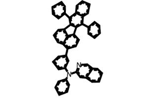 c1ccc(-c2c3c(c(-c4ccccc4)c4ccccc24)-c2ccc(-c4cccc(N(c5ccccc5)c5cc6ccccc6cn5)c4)c4cccc-3c24)cc1